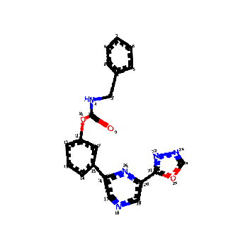 O=C(NCc1ccccc1)Oc1cccc(-c2cncc(-c3nnco3)n2)c1